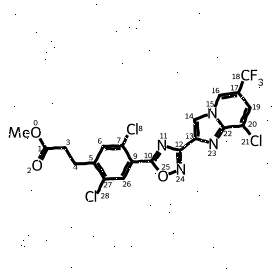 COC(=O)CCc1cc(Cl)c(-c2nc(-c3cn4cc(C(F)(F)F)cc(Cl)c4n3)no2)cc1Cl